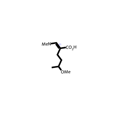 CN/C=C(\CCC(C)OC)C(=O)O